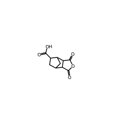 O=C(O)C1CC2CC1C1C(=O)OC(=O)C21